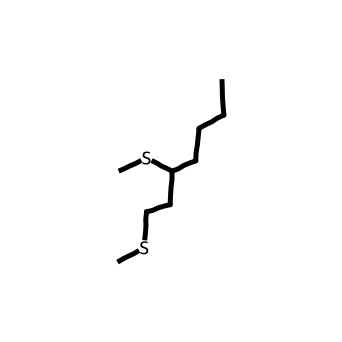 CCCCC(CCSC)SC